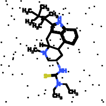 CCN(CC)C(=S)N[C@H]1CC2c3cccc4[nH]c([Si](C)(C)C(C)(C)C)c(c34)C[C@H]2N(C)C1